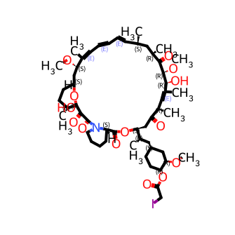 CO[C@H]1C[C@@H]2CC[C@@H](C)[C@@](O)(O2)C(=O)C(=O)N2CCCC[C@H]2C(=O)O[C@H]([C@H](C)C[C@@H]2CC[C@@H](OC(=O)CI)[C@H](OC)C2)CC(=O)[C@H](C)/C=C(\C)[C@@H](O)[C@@H](OC)C(=O)[C@H](C)C[C@H](C)/C=C/C=C/C=C/1C